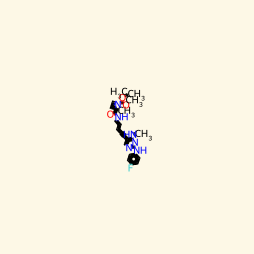 CNc1nc(Nc2ccc(F)cc2)ncc1C#CCCCNC(=O)[C@]1(C)CCN1C(=O)OC(C)(C)C